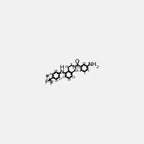 Nc1cccc(C(=O)N2CCc3c(cccc3Nc3ccc(C(F)(F)F)cc3)C2)c1